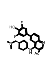 CC(=O)c1cnc2ccc(-c3cc(F)c(O)c(F)c3)cc2c1N[C@H]1CC[C@H](CN(C)C)CC1